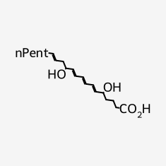 CCCCCC=CC[C@@H](O)C=CC=CC=C[C@@H](O)CCCC(=O)O